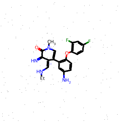 CCN/C=C1\C(=N)C(=O)N(C)C=C1c1cc(N)ccc1Oc1ccc(F)cc1F